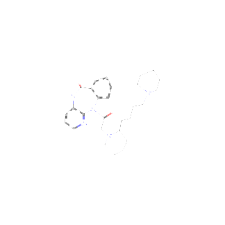 O=C1Nc2cccnc2N(C(=O)CN2CCCCC2CCCCN2CCCCC2)c2ccccc21